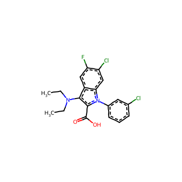 CCN(CC)c1c(C(=O)O)n(-c2cccc(Cl)c2)c2cc(Cl)c(F)cc12